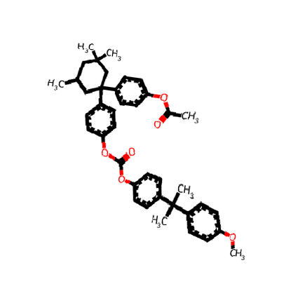 COc1ccc(C(C)(C)c2ccc(OC(=O)Oc3ccc(C4(c5ccc(OC(C)=O)cc5)CC(C)CC(C)(C)C4)cc3)cc2)cc1